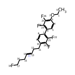 CCOc1ccc(-c2ccc(CC/C=C/CCCF)c(F)c2F)c(F)c1F